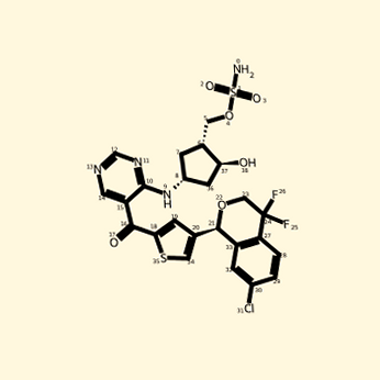 NS(=O)(=O)OC[C@H]1C[C@@H](Nc2ncncc2C(=O)c2cc([C@H]3OCC(F)(F)c4ccc(Cl)cc43)cs2)C[C@@H]1O